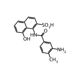 Cc1ccc(C(=O)Nc2c(S(=O)(=O)O)ccc3cccc(O)c23)cc1N